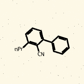 CCCc1cccc(-c2ccccc2)c1C#N